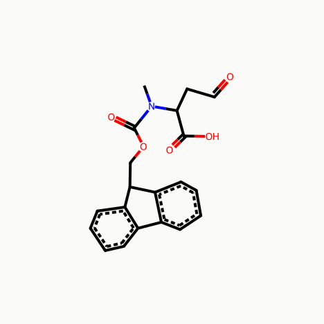 CN(C(=O)OCC1c2ccccc2-c2ccccc21)C(CC=O)C(=O)O